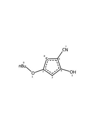 CCCCOc1cc(O)c(C#N)s1